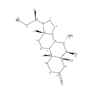 CC[C@@H]1[C@@H](O)C2C3CCC([C@H](C)CC#N)[C@@]3(C)CCC2[C@@]2(C)CCC(=O)C[C@@H]12